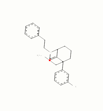 COC=C1C2CCCC1(c1cccc(O)c1)CCN2CCc1ccccc1